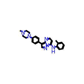 Cc1ccccc1Nc1ccnc2c(-c3ccc(N4CCN(C)CC4)cc3)cnn12